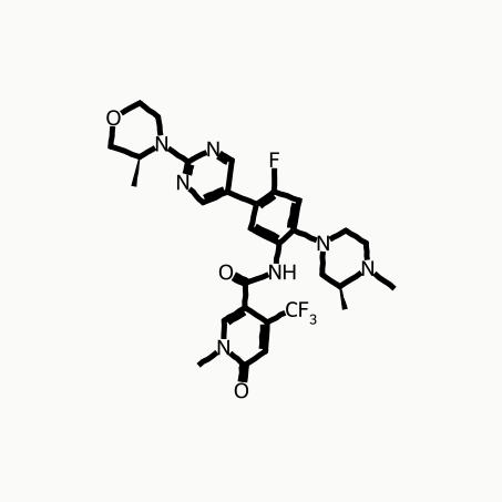 C[C@H]1CN(c2cc(F)c(-c3cnc(N4CCOC[C@@H]4C)nc3)cc2NC(=O)c2cn(C)c(=O)cc2C(F)(F)F)CCN1C